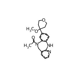 COC1(c2ccc3c(c2)N(C(C)=O)Cc2cccnc2N3)CCOCC1